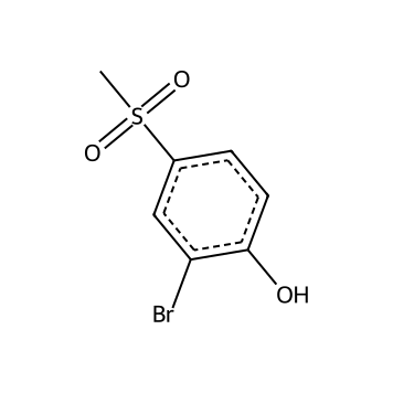 CS(=O)(=O)c1ccc(O)c(Br)c1